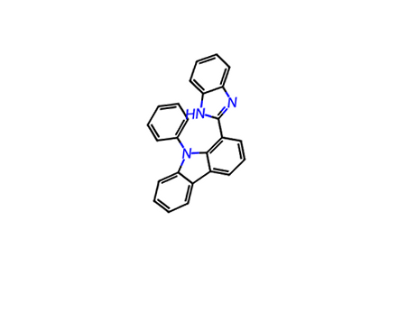 c1ccc(-n2c3ccccc3c3cccc(-c4nc5ccccc5[nH]4)c32)cc1